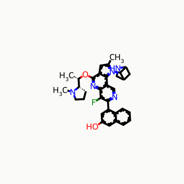 Cc1cc2c(O[C@@H](C)[C@@H]3CCCN3C)nc3c(F)c(-c4cc(O)cc5ccccc45)ncc3c2n1C1C2CNC1C2